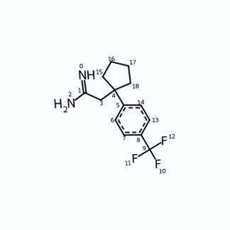 N=C(N)CC1(c2ccc(C(F)(F)F)cc2)CCCC1